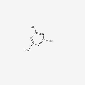 CC(C)(C)c1cc(N)nc(C(C)(C)C)n1